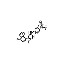 CC(=O)N=S(C)(=O)Cc1ccnc(Nc2cc(-c3ccc(F)c4ccoc34)c(F)cn2)c1